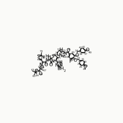 Bn1nnc(C2=C(C[N+]34CCC[C@H]3CN(C(=O)c3cc(F)c(OCc5ccc(OC)cc5)c(OCc5ccc(OC)cc5)c3)CC4)CS[C@@H]3[C@H](NC(=O)/C(=N\OC(C)(C)C(=O)OC(C)(C)C)c4csc(C)n4)C(=O)N23)n1